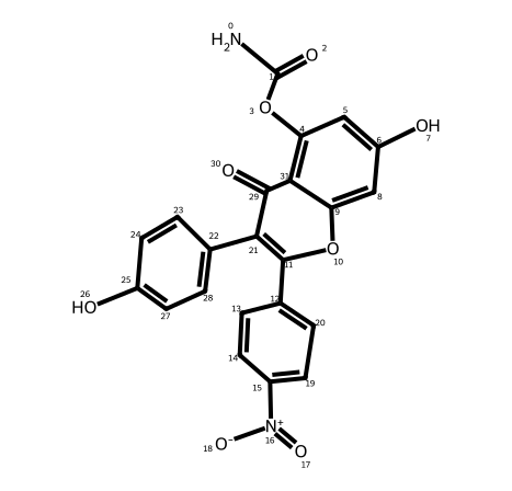 NC(=O)Oc1cc(O)cc2oc(-c3ccc([N+](=O)[O-])cc3)c(-c3ccc(O)cc3)c(=O)c12